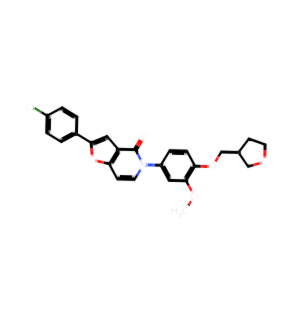 COc1cc(-n2ccc3oc(-c4ccc(Cl)cc4)cc3c2=O)ccc1OCC1CCOC1